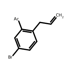 C=CCc1ccc(Br)cc1C(C)=O